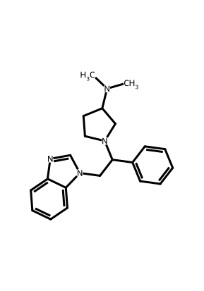 CN(C)C1CCN(C(Cn2cnc3ccccc32)c2ccccc2)C1